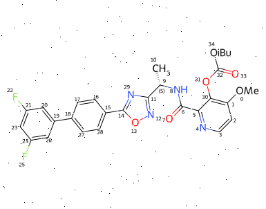 COc1ccnc(C(=O)N[C@@H](C)c2noc(-c3ccc(-c4cc(F)cc(F)c4)cc3)n2)c1OC(=O)OCC(C)C